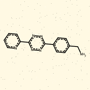 NCc1ccc(-c2nnc(-c3ccccn3)nn2)cc1